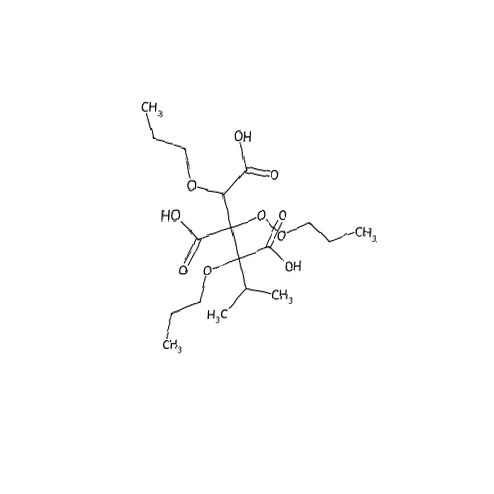 CCCOOC(C(=O)O)(C(OCCC)C(=O)O)C(OCCC)(C(=O)O)C(C)C